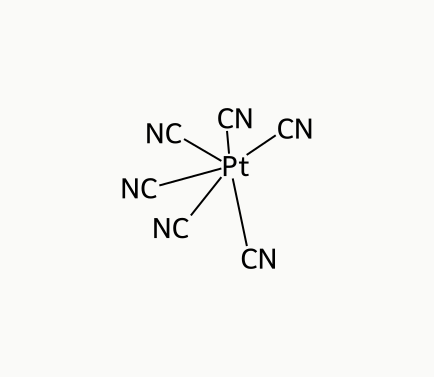 N#[C][Pt]([C]#N)([C]#N)([C]#N)([C]#N)[C]#N